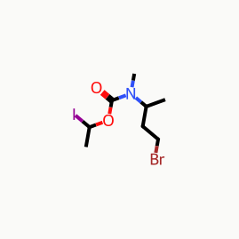 CC(I)OC(=O)N(C)C(C)CCBr